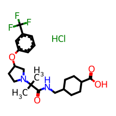 CC(C)(C(=O)NCC1CCC(C(=O)O)CC1)N1CCC(Oc2cccc(C(F)(F)F)c2)C1.Cl